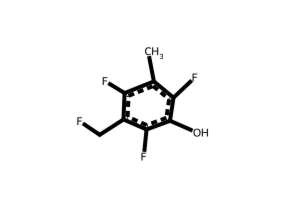 Cc1c(F)c(O)c(F)c(CF)c1F